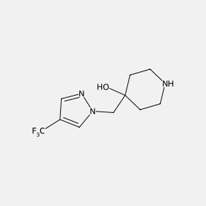 OC1(Cn2cc(C(F)(F)F)cn2)CCNCC1